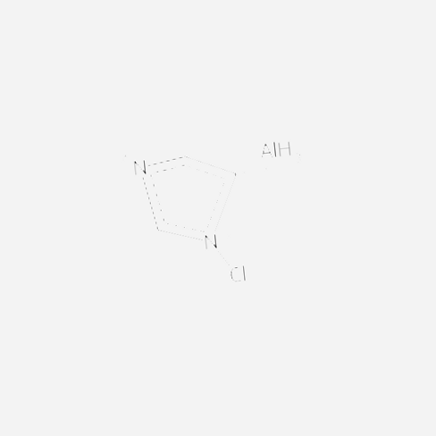 Cln1ccnc1.[AlH3]